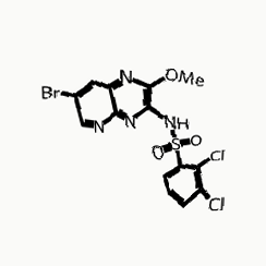 COc1nc2cc(Br)cnc2nc1NS(=O)(=O)c1cccc(Cl)c1Cl